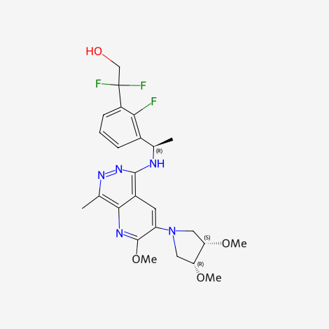 COc1nc2c(C)nnc(N[C@H](C)c3cccc(C(F)(F)CO)c3F)c2cc1N1C[C@H](OC)[C@H](OC)C1